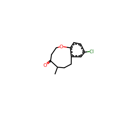 CC1CCc2cc(Cl)ccc2OCCC1=O